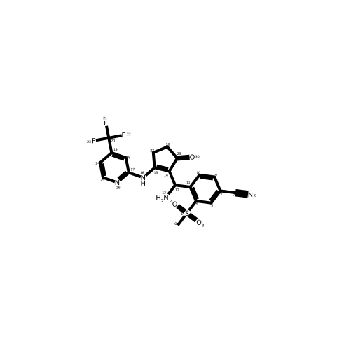 CS(=O)(=O)c1cc(C#N)ccc1C(N)C1=C(Nc2cc(C(F)(F)F)ccn2)CCC1=O